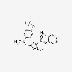 COc1ccc(N(C)Cc2cc3n(n2)CCN(c2ccccc2C#N)C3=O)cc1